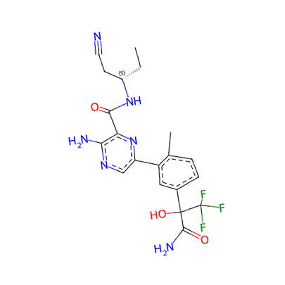 CC[C@@H](CC#N)NC(=O)c1nc(-c2cc(C(O)(C(N)=O)C(F)(F)F)ccc2C)cnc1N